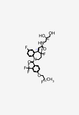 C[C@H](F)COc1ccc(C(=O)N2CCC(F)(F)/C(=C\C(=O)NC[C@@H](O)CO)c3cc(F)ccc32)c(C(F)(F)F)c1